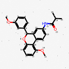 COc1cccc(C2Oc3cccc(OC)c3-c3ccc(NC(=O)C(C)C)cc32)c1